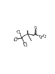 CC(C)(C(=O)OCl)C(Cl)(Cl)Cl